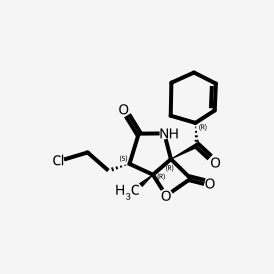 C[C@]12OC(=O)[C@@]1(C(=O)[C@H]1C=CCCC1)NC(=O)[C@H]2CCCl